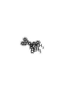 CC1(C)c2ccccc2-c2ccc(N(c3ccc(-c4cc5ccccc5c5c4ccc4ccccc45)cc3)c3ccc4c(c3)C(C)(C)c3ccccc3-4)cc21